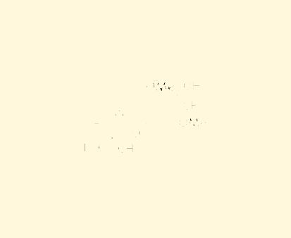 CCC(C)(C)C(=O)Oc1cc(OC)c(C(O)(C(F)(F)F)C(F)(F)F)c(OC)c1